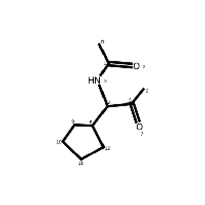 CC(=O)NC(C(C)=O)C1CCCC1